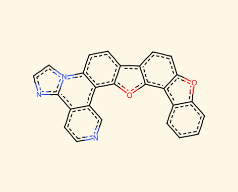 c1ccc2c(c1)oc1ccc3c4ccc5c(c6cnccc6c6nccn56)c4oc3c12